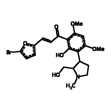 COc1cc(OC)c(C2CCN(C)C2CO)c(O)c1C(=O)/C=C/c1ccc(Br)o1